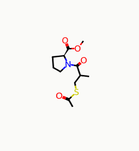 COC(=O)[C@@H]1CCCN1C(=O)C(C)CSC(C)=O